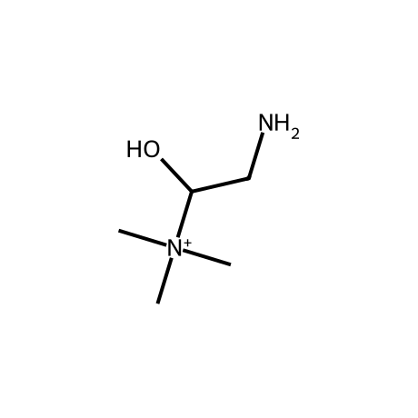 C[N+](C)(C)C(O)CN